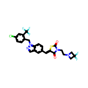 O=C1S/C(=C\c2ccc3c(cnn3Cc3ccc(Cl)cc3C(F)(F)F)c2)C(=O)N1CCN1CC(F)(F)C1